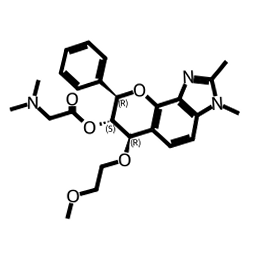 COCCO[C@@H]1c2ccc3c(nc(C)n3C)c2O[C@H](c2ccccc2)[C@H]1OC(=O)CN(C)C